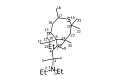 CCN(CC)C(C)(C)CC(C)C1(C(C)(C)CC)C(C)CC(C)SC(C)(C)CC1(C)C